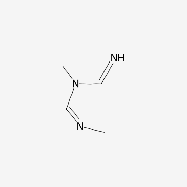 C/N=C\N(C)C=N